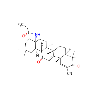 CC1(C)CC[C@]2(NC(=O)CC(F)(F)F)CC[C@]3(C)[C@H](C(=O)C=C4[C@@]5(C)C=C(C#N)C(=O)C(C)(C)[C@@H]5CC[C@]43C)[C@H]2C1